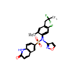 COc1cc(CC(F)(F)C(F)(F)F)c(F)cc1N(c1ccon1)S(=O)(=O)c1ccc2[nH]c(=O)ccc2c1